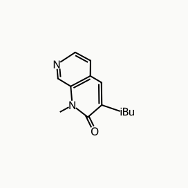 CCC(C)c1cc2ccncc2n(C)c1=O